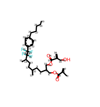 C=C(C)C(=O)OCC(CCC(C)CCC(C)C(F)(F)C(F)(F)c1ccc(CCCCC)cc1)COC(=O)C(=C)CO